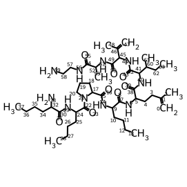 C=C(C)CCC(NC(=O)C(CCCC)NC(=O)C1CCCN1C(=O)C(CCCC)NC(=O)C(N)CCCC)C(=O)NC(C(=O)NC(C(=C)C)C(=O)NC(C)C(=O)NCCN)C(C)CC